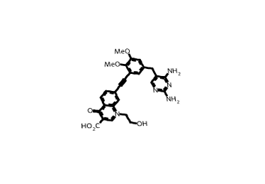 COc1cc(Cc2cnc(N)nc2N)cc(C#Cc2ccc3c(=O)c(C(=O)O)cn(CCO)c3c2)c1OC